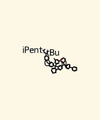 CCCC(C)C(C)CC(c1ccc(Oc2ccc(C3(c4cc(C)cc(C)c4)c4ccccc4-c4ccc(N(c5ccccc5)c5ccc(-c6ccccc6)cc5)cc43)cc2)cc1)C(C)(C)C